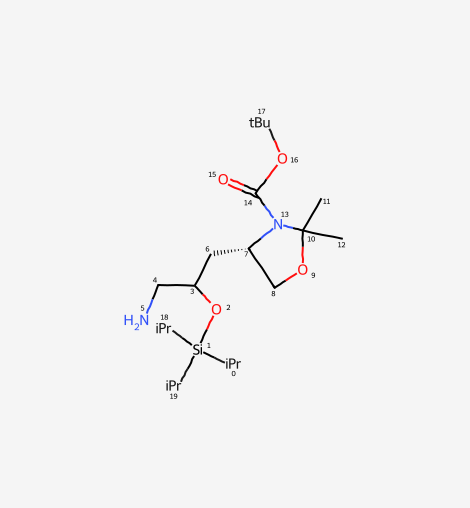 CC(C)[Si](OC(CN)C[C@H]1COC(C)(C)N1C(=O)OC(C)(C)C)(C(C)C)C(C)C